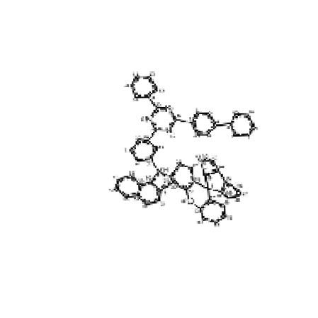 c1ccc(-c2ccc(-c3nc(-c4ccccc4)nc(-c4cccc(-n5c6ccc7c(c6c6ccc8ccccc8c65)Oc5ccccc5C75c6ccccc6-c6ccccc65)c4)n3)cc2)cc1